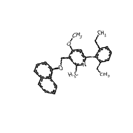 CCc1cccc(CC)c1-c1cc(OC)c(COc2cccc3ccccc23)c(C)n1